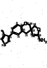 Cc1cscc1-c1ccc2c(c1)CC1(COC(N)=N1)CO2